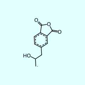 [CH2]C(O)Cc1ccc2c(c1)C(=O)OC2=O